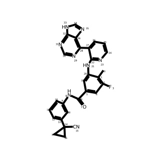 Cc1c(F)cc(C(=O)Nc2cccc(C3(C#N)CC3)c2)cc1Nc1ncccc1-c1ncnc2[nH]cnc12